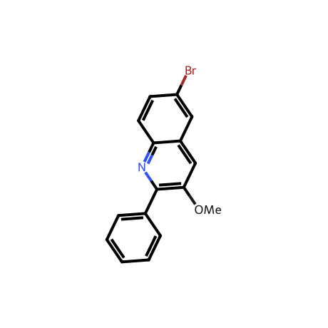 COc1cc2cc(Br)ccc2nc1-c1ccccc1